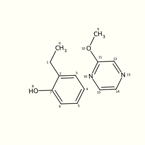 CCc1ccccc1O.COc1cnccn1